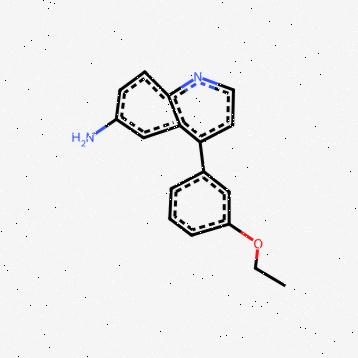 CCOc1cccc(-c2ccnc3ccc(N)cc23)c1